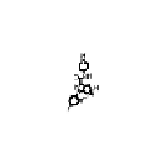 O=C(NC1CCNCC1)c1nn(-c2ccc(F)cc2F)c2c1C[C@H]1C[C@@H]21